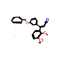 COc1cccc(C(=CC#N)c2cccc(OCc3ccccc3)c2)c1OC